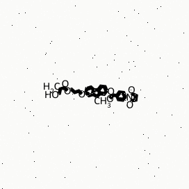 C=C(CO)C(=O)OCCCOc1ccc2c(c1)C(C)c1cc(OC(=O)c3ccc(N4C(=O)C=CC4=O)cc3)ccc1-2